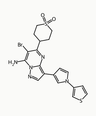 Nc1c(Br)c(C2CCS(=O)(=O)CC2)nc2c(-c3ccn(-c4ccsc4)c3)cnn12